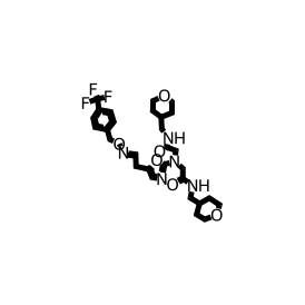 O=C(CN(CC(=O)NCC1CCOCC1)c1ncc(CC=NOCc2ccc(C(F)(F)F)cc2)o1)NCC1CCOCC1